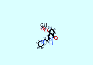 COCOc1cccc2c(=O)[nH]c(CCN3CCCCC3)cc12